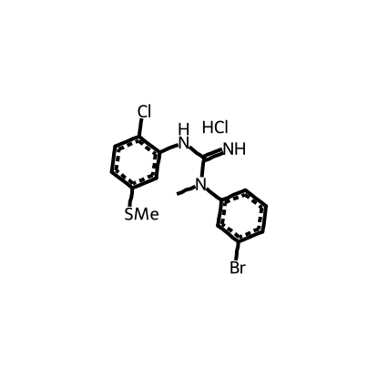 CSc1ccc(Cl)c(NC(=N)N(C)c2cccc(Br)c2)c1.Cl